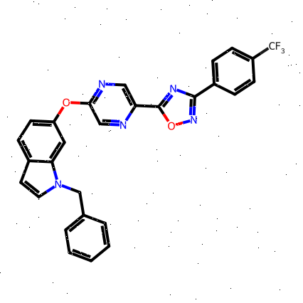 FC(F)(F)c1ccc(-c2noc(-c3cnc(Oc4ccc5c[c]n(Cc6ccccc6)c5c4)cn3)n2)cc1